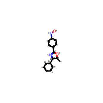 Cc1oc(-c2ccc(N=O)cc2)nc1-c1ccccc1